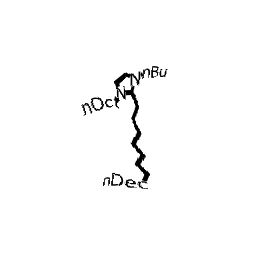 CCCCCCCCCCCCCCCCCC1N(CCCC)C=CN1CCCCCCCC